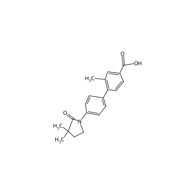 Cc1cc(C(=O)O)ccc1-c1ccc(N2CCC(C)(C)C2=O)cc1